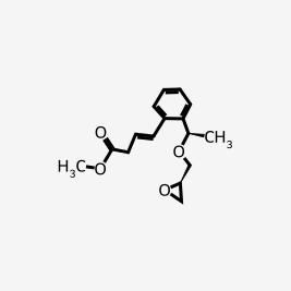 COC(=O)C/C=C/c1ccccc1[C@@H](C)OC[C@H]1CO1